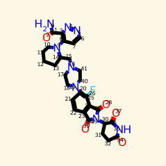 NC(=O)c1nnccc1N1CCCCC1CN1CCN(c2ccc3c(c2F)C(=O)N(C2CCC(=O)NC2=O)C3=O)CC1